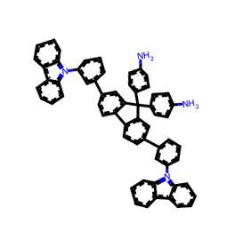 Nc1ccc(C2(c3ccc(N)cc3)c3cc(-c4cccc(-n5c6ccccc6c6ccccc65)c4)ccc3-c3ccc(-c4cccc(-n5c6ccccc6c6ccccc65)c4)cc32)cc1